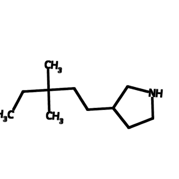 CCC(C)(C)CCC1CCNC1